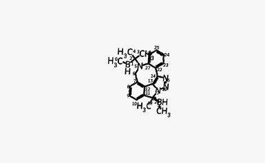 CBC(C)(C)N1Cc2cccc3c2-c2c(nnn2[C@]3(C)BC)-c2ccccc21